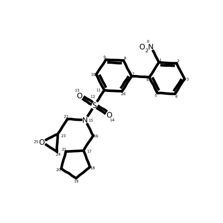 O=[N+]([O-])c1ccccc1-c1cccc(S(=O)(=O)N(CC2CCCC2)CC2CO2)c1